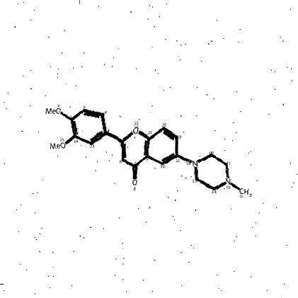 COc1ccc(-c2cc(=O)c3cc(N4CCN(C)CC4)ccc3o2)cc1OC